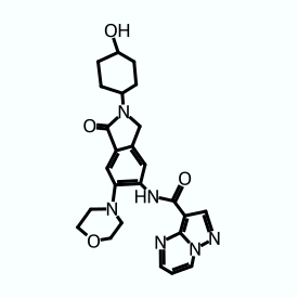 O=C(Nc1cc2c(cc1N1CCOCC1)C(=O)N(C1CCC(O)CC1)C2)c1cnn2cccnc12